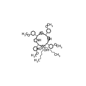 CCCCCCC1(O)c2nc(c(-c3cccc(OC)c3)c3ccc([nH]3)c(-c3cccc(OC)c3)c3nc(c(-c4cccc(OC)c4)c4ccc([nH]4)c2-c2cccc(OC)c2)C=C3)C1(O)CCCCCC